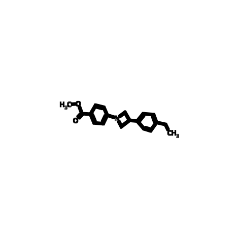 CCc1ccc(C2CN(c3ccc(C(=O)OC)cc3)C2)cc1